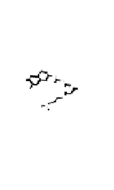 Cc1cc2cc(NC(=O)Nc3nc(NCCCN(C)C)cc(C(F)(F)F)n3)ccc2cc1Cl